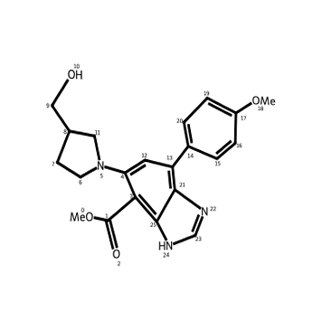 COC(=O)c1c(N2CCC(CO)C2)cc(-c2ccc(OC)cc2)c2nc[nH]c12